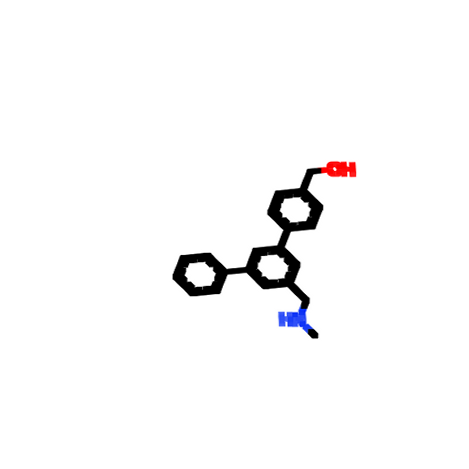 CNCc1cc(-c2ccccc2)cc(-c2ccc(CO)cc2)c1